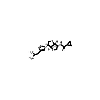 CC(C)Cc1cn([C@H]2CO[C@H]3[C@@H]2OC[C@@H]3NC(=O)C2CC2)nn1